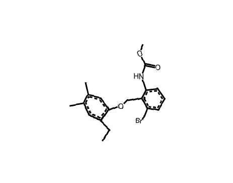 CCc1cc(C)c(C)cc1OCc1c(Br)cccc1NC(=O)OC